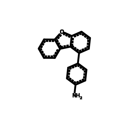 Nc1ccc(-c2cccc3oc4ccccc4c23)cc1